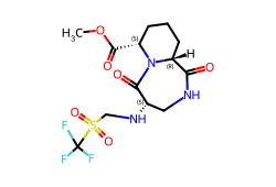 COC(=O)[C@@H]1CCC[C@@H]2C(=O)NC[C@H](NCS(=O)(=O)C(F)(F)F)C(=O)N21